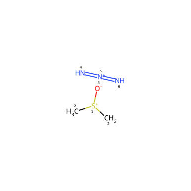 C[S+](C)[O-].N=[N+]=N